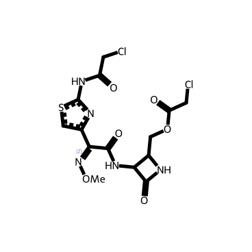 CO/N=C(\C(=O)NC1C(=O)NC1COC(=O)CCl)c1csc(NC(=O)CCl)n1